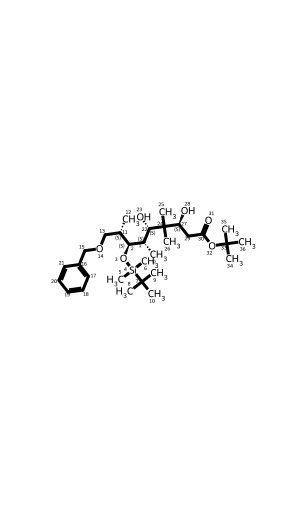 C[C@H]([C@@H](O[Si](C)(C)C(C)(C)C)[C@@H](C)COCc1ccccc1)[C@H](O)C(C)(C)[C@@H](O)CC(=O)OC(C)(C)C